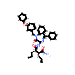 C=CC[C@H](C(N)=O)[C@@H](CCC)C(=O)NC1N=C(c2ccccc2)c2ccccc2N(Cc2cccc(Oc3ccccc3)c2)C1=O